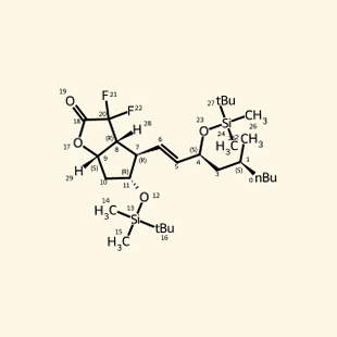 CCCC[C@H](C)C[C@@H](C=C[C@@H]1[C@@H]2[C@H](C[C@H]1O[Si](C)(C)C(C)(C)C)OC(=O)C2(F)F)O[Si](C)(C)C(C)(C)C